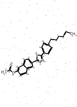 CCCCCCc1ccc(-c2nnc(-c3ccc4cc(OC(C)=O)ccc4c3)s2)cc1